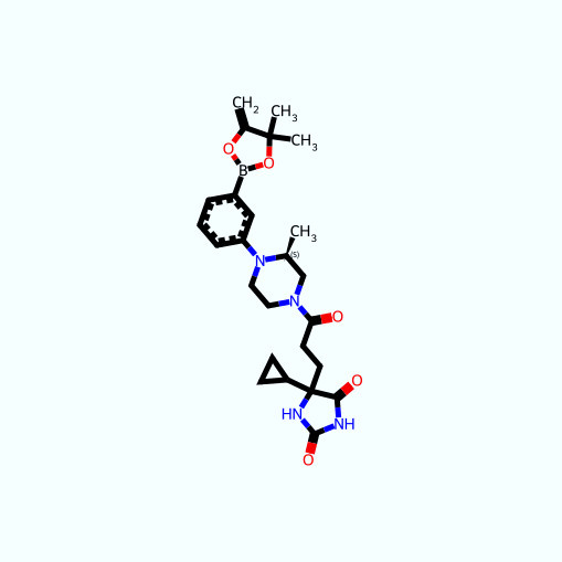 C=C1OB(c2cccc(N3CCN(C(=O)CCC4(C5CC5)NC(=O)NC4=O)C[C@@H]3C)c2)OC1(C)C